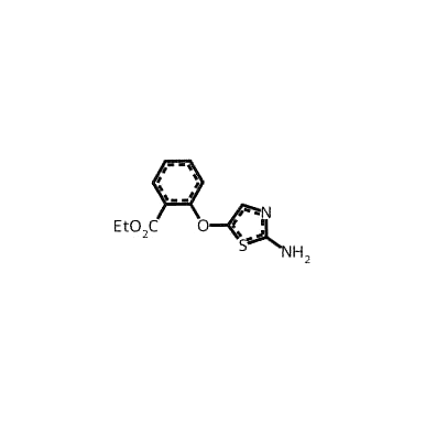 CCOC(=O)c1ccccc1Oc1cnc(N)s1